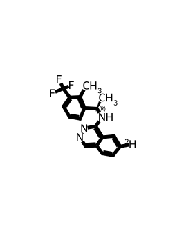 [2H]c1ccc2cnnc(N[C@H](C)c3cccc(C(F)(F)F)c3C)c2c1